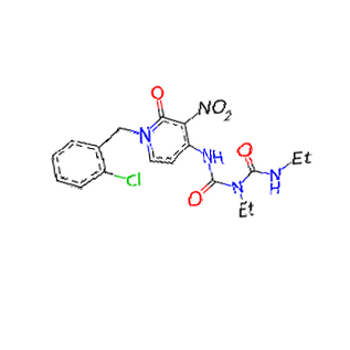 CCNC(=O)N(CC)C(=O)Nc1ccn(Cc2ccccc2Cl)c(=O)c1[N+](=O)[O-]